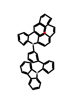 c1ccc(-c2ccccc2N(c2cccc(-c3ccccc3-n3c4ccccc4c4ccccc43)c2)c2ccc3ccc4ccccc4c3c2)cc1